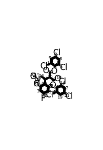 O=C(Oc1c(Cl)cc(Cl)cc1Cl)C(C(=O)Oc1c(Cl)cc(Cl)cc1Cl)C(C[N+](=O)[O-])c1ccc(F)cc1